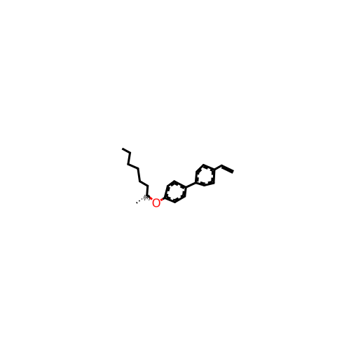 C=Cc1ccc(-c2ccc(O[C@H](C)CCCCCC)cc2)cc1